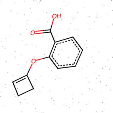 O=C(O)c1ccccc1OC1=CCC1